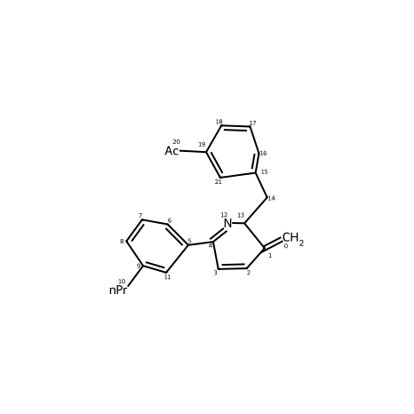 C=C1C=CC(c2cccc(CCC)c2)=NC1Cc1cccc(C(C)=O)c1